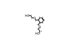 OCCOCC1CC=CCC1COCCO